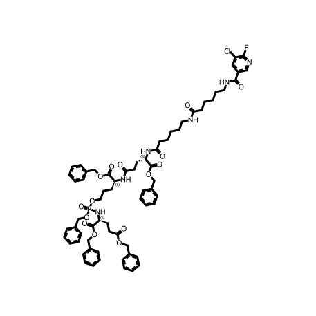 O=C(CCCCCNC(=O)c1cnc(F)c(Cl)c1)NCCCCCC(=O)N[C@@H](CCC(=O)N[C@@H](CCCOP(=O)(N[C@@H](CCC(=O)OCc1ccccc1)C(=O)OCc1ccccc1)OCc1ccccc1)C(=O)OCc1ccccc1)C(=O)OCc1ccccc1